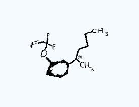 CCCC[C@@H](C)c1cccc(OC(F)(F)F)c1